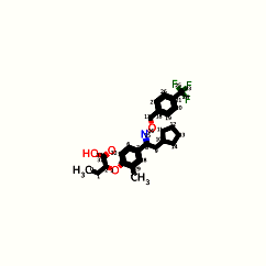 CCC(Oc1ccc(C(CC2CCCC2)=NOCc2ccc(C(F)(F)F)cc2)cc1C)C(=O)O